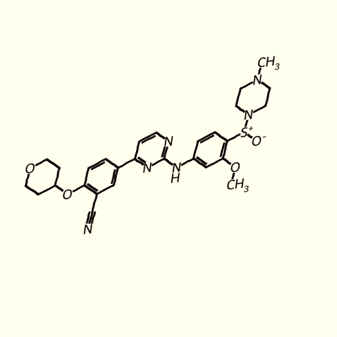 COc1cc(Nc2nccc(-c3ccc(OC4CCOCC4)c(C#N)c3)n2)ccc1[S+]([O-])N1CCN(C)CC1